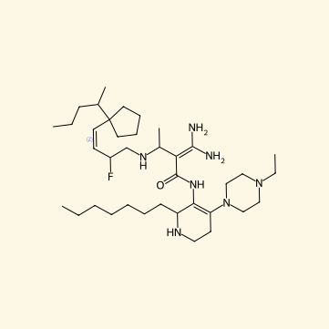 CCCCCCCC1NCCC(N2CCN(CC)CC2)=C1NC(=O)C(=C(N)N)C(C)NCC(F)/C=C\C1(C(C)CCC)CCCC1